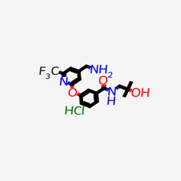 CC(C)(O)CNC(=O)c1cccc(Oc2cc(CN)cc(C(F)(F)F)n2)c1.Cl